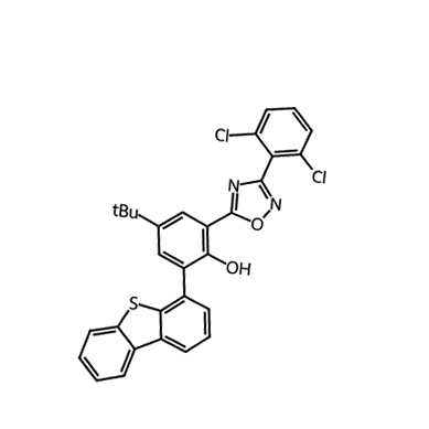 CC(C)(C)c1cc(-c2nc(-c3c(Cl)cccc3Cl)no2)c(O)c(-c2cccc3c2sc2ccccc23)c1